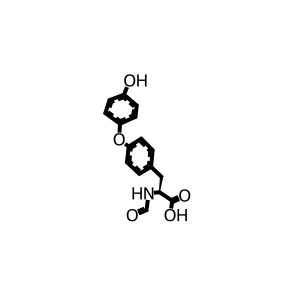 O=CN[C@@H](Cc1ccc(Oc2ccc(O)cc2)cc1)C(=O)O